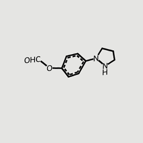 O=COc1ccc(N2CCCN2)cc1